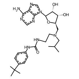 CC(C)CN(CCNC(=O)Nc1ccc(C(C)(C)C)cc1)C[C@H]1OC(n2cnc3c(N)ncnc32)[C@H](O)[C@@H]1O